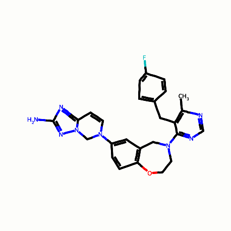 Cc1ncnc(N2CCOc3ccc(N4C=Cc5nc(N)nn5C4)cc3C2)c1Cc1ccc(F)cc1